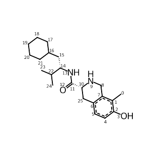 Cc1c(O)ccc2c1CN[C@@H](C(=O)N[C@@H](CC1CCCCC1)C(C)C)C2